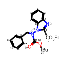 CCOC(=O)c1nc2ccccc2n1N(Cc1ccccc1)C(=O)OC(C)(C)C